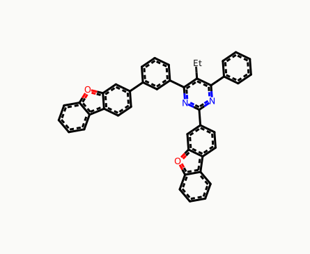 CCc1c(-c2ccccc2)nc(-c2ccc3c(c2)oc2ccccc23)nc1-c1cccc(-c2ccc3c(c2)oc2ccccc23)c1